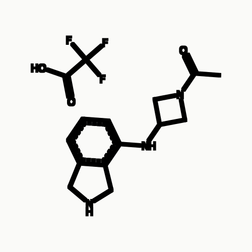 CC(=O)N1CC(Nc2cccc3c2CNC3)C1.O=C(O)C(F)(F)F